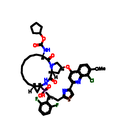 COc1ccc2c(O[C@@H]3C[C@H]4C(=O)N[C@]5(P(=O)(O)Cc6c(F)cccc6F)C[C@H]5CCCCCCC[C@H](NC(=O)OC5CCCC5)C(=O)N4C3)cc(-c3csc(CC(C)C)n3)nc2c1Cl